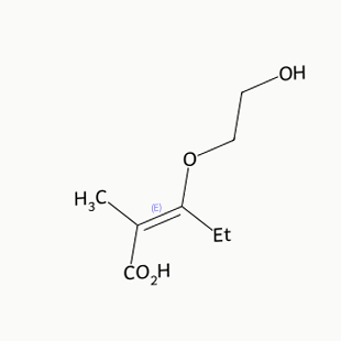 CC/C(OCCO)=C(/C)C(=O)O